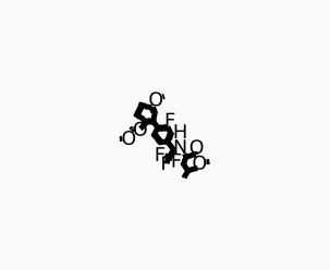 COCOc1ccc(OC)cc1-c1ccc(C(NC(CC(C)C)C(=O)OC)C(F)(F)F)cc1F